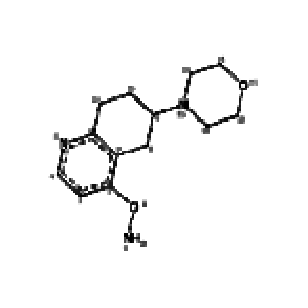 NOc1ccnc2c1CC(N1CCOCC1)CC2